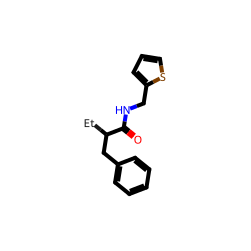 CCC(Cc1ccccc1)C(=O)NCc1cccs1